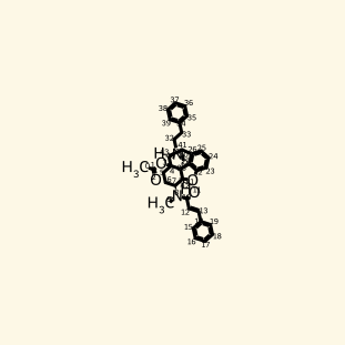 CC(=O)OC12CC[C@@H](N(C)C(=O)C=Cc3ccccc3)[C@@H]3Oc4cccc5c4[C@@]31CCN(CCc1ccccc1)[C@@H]2C5